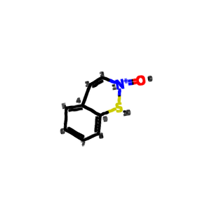 O=[n+]1ccc2ccccc2s1